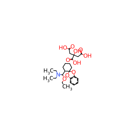 CCOC(C1CCCCC12Oc1ccccc1O2)N(CC)CC.O=C(O)CC(O)(CC(=O)O)C(=O)O